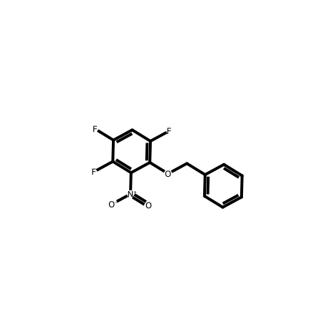 O=[N+]([O-])c1c(F)c(F)cc(F)c1OCc1ccccc1